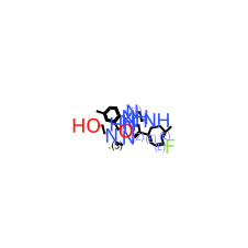 C\C1=C/C(F)=C\C=C(\C(C=N)=C\NC[C@H](C)N(CCO)C(=O)c2cc(C)ccc2N/N=C\C=N)CC1